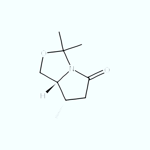 C[C@H]1CC(=O)N2[C@H]1COC2(C)C